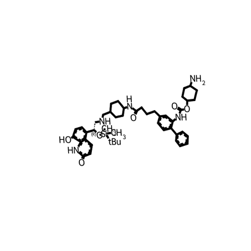 CC(C)(C)[Si](C)(C)O[C@@H](CNCC1CCC(NC(=O)CCCc2ccc(-c3ccccc3)c(NC(=O)OC3CCC(N)CC3)c2)CC1)c1ccc(O)c2[nH]c(=O)ccc12